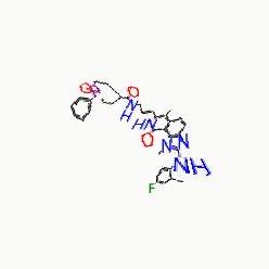 Cc1cc(F)ccc1Nc1nc2ccc3c(C)c(/C=C/CNC(=O)C4CCP(=O)(c5ccccc5)CC4)[nH]c(=O)c3c2n1C